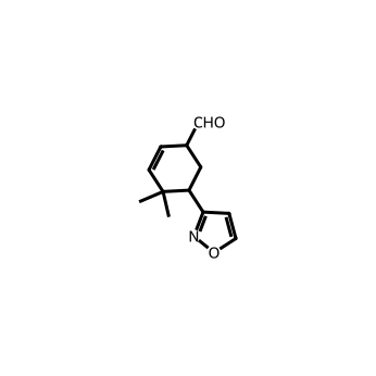 CC1(C)C=CC(C=O)CC1c1ccon1